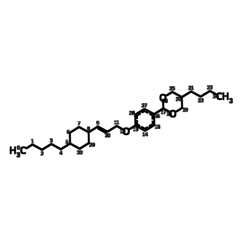 CCCCCC1CCC(C=CCOc2ccc(C3OCC(CCCC)CO3)cc2)CC1